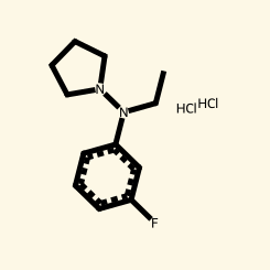 CCN(c1cccc(F)c1)N1CCCC1.Cl.Cl